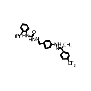 C/C(=N\Nc1ccc(C=NNC(=O)Nc2ccccc2C(C)C)cc1)c1ccc(C(F)(F)F)cc1